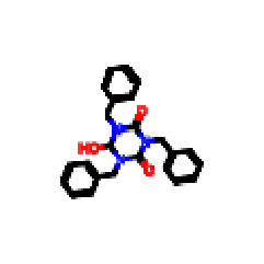 O=C1N(Cc2ccccc2)C(=O)N(Cc2ccccc2)C(O)N1Cc1ccccc1